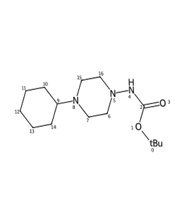 CC(C)(C)OC(=O)NN1CCN(C2CCCCC2)CC1